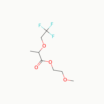 COCCOC(=O)C(C)OCC(F)(F)F